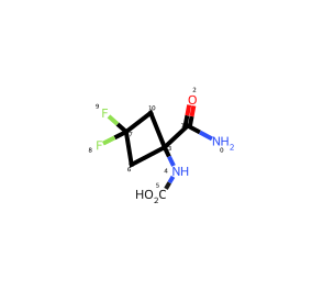 NC(=O)C1(NC(=O)O)CC(F)(F)C1